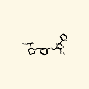 COC(=O)[C@@H]1CCCN1Cc1cccc(OCc2nc(-c3cccs3)oc2C)c1